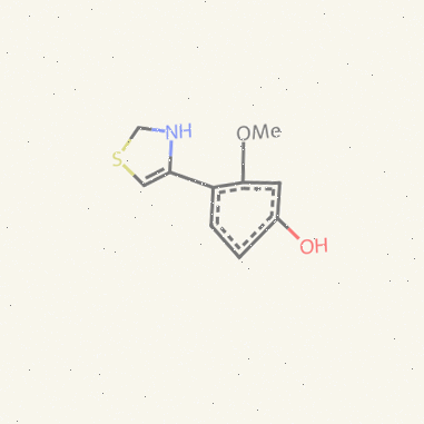 COc1cc(O)ccc1C1=CSCN1